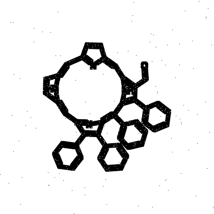 O=Cc1c(-c2ccccc2)c2[nH]c1cc1nc(cc3ccc(cc4nc(c2-c2ccccc2)C(c2ccccc2)=C4c2ccccc2)[nH]3)C=C1